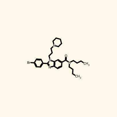 CCCCN(CCCC)C(=O)c1ccc2nc(-c3ccc(Br)cc3)n(CCCN3CCCCC3)c2c1